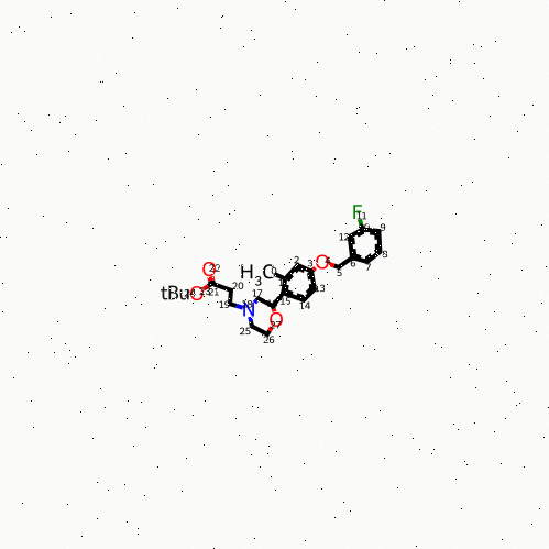 Cc1cc(OCc2cccc(F)c2)ccc1C1CN(CCC(=O)OC(C)(C)C)CCO1